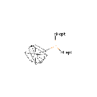 CCCCCCCP(CCCCCCC)[C]12[CH]3[CH]4[CH]5[CH]1[Co]45321678[CH]2[CH]1[CH]6[CH]7[CH]28